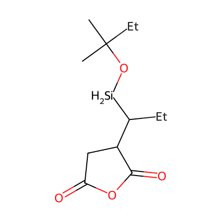 CCC([SiH2]OC(C)(C)CC)C1CC(=O)OC1=O